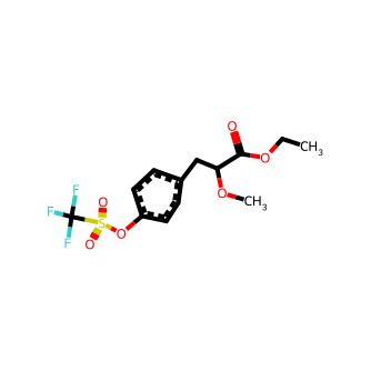 CCOC(=O)C(Cc1ccc(OS(=O)(=O)C(F)(F)F)cc1)OC